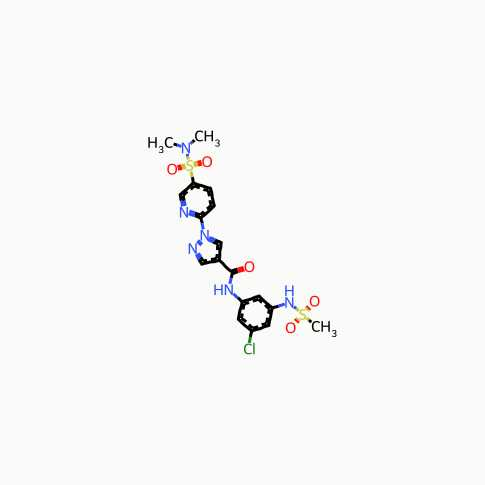 CN(C)S(=O)(=O)c1ccc(-n2cc(C(=O)Nc3cc(Cl)cc(NS(C)(=O)=O)c3)cn2)nc1